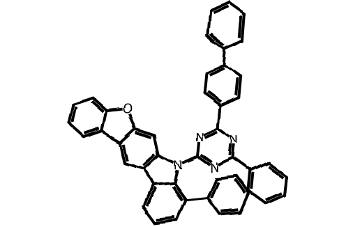 c1ccc(-c2ccc(-c3nc(-c4ccccc4)nc(-n4c5cc6oc7ccccc7c6cc5c5cccc(-c6ccccc6)c54)n3)cc2)cc1